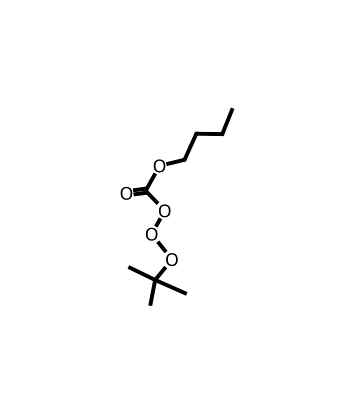 CCCCOC(=O)OOOC(C)(C)C